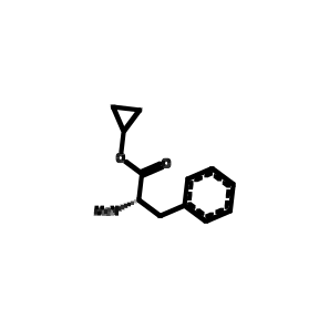 CN[C@@H](Cc1ccccc1)C(=O)OC1CC1